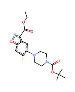 CCOC(=O)c1noc2cc(F)c(N3CCN(C(=O)OC(C)(C)C)CC3)cc12